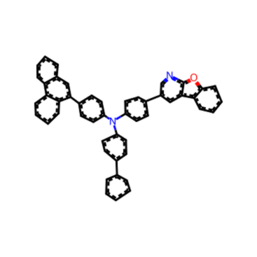 c1ccc(-c2ccc(N(c3ccc(-c4cnc5oc6ccccc6c5c4)cc3)c3ccc(-c4cc5ccccc5c5ccccc45)cc3)cc2)cc1